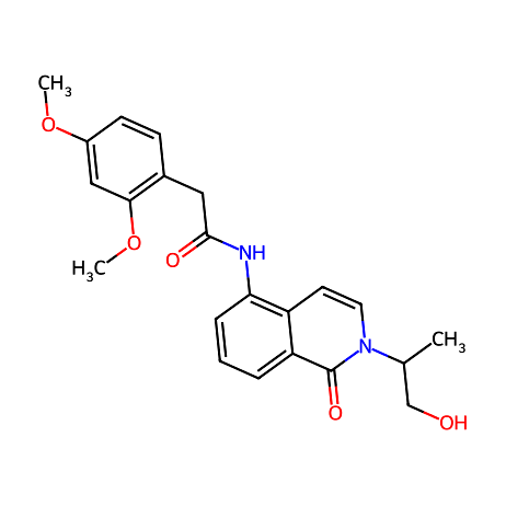 COc1ccc(CC(=O)Nc2cccc3c(=O)n(C(C)CO)ccc23)c(OC)c1